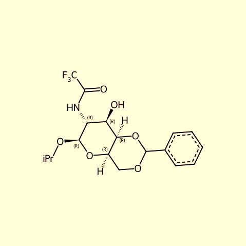 CC(C)O[C@@H]1O[C@@H]2COC(c3ccccc3)O[C@@H]2[C@H](O)[C@H]1NC(=O)C(F)(F)F